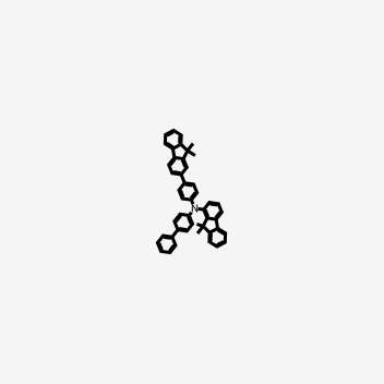 CC1(C)c2ccccc2-c2ccc(-c3ccc(N(c4ccc(-c5ccccc5)cc4)c4cccc5c4C(C)(C)c4ccccc4-5)cc3)cc21